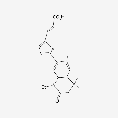 CCN1C(=O)CC(C)(C)c2cc(C)c(-c3ccc(C=CC(=O)O)s3)cc21